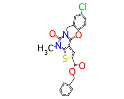 Cn1c(=O)n(Cc2cccc(Cl)c2)c(=O)c2cc(C(=O)OCc3ccccc3)sc21